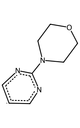 [c]1cnc(N2CCOCC2)nc1